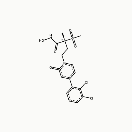 C[C@@](CCn1ccc(-c2cccc(Cl)c2Cl)cc1=O)(C(=O)NO)S(C)(=O)=O